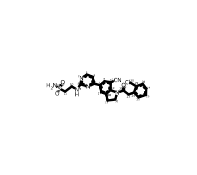 N#Cc1cc(-c2ccnc(NCCS(N)(=O)=O)n2)cc2c1N(C(=O)Cc1ccccc1Cl)CC2